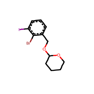 Brc1c(I)cccc1COC1CCCCO1